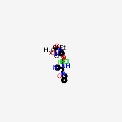 CCN1C(=O)C(C)(C)C(=O)N(C)c2cc(OCCCNC(CCN3CCc4ccccc4C3=O)c3ccncc3)ccc21.Cl.Cl